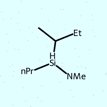 CCC[SiH](NC)C(C)CC